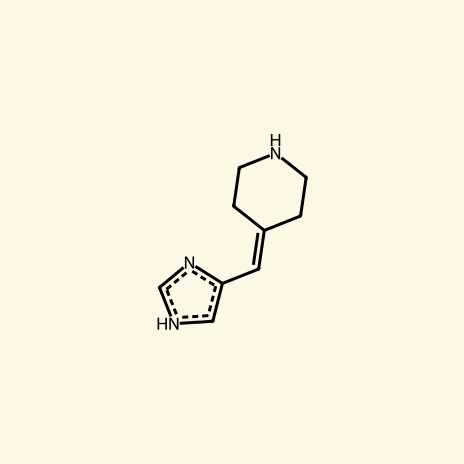 C(=C1CCNCC1)c1c[nH]cn1